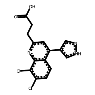 O=C(O)CCc1cc(-c2cn[nH]c2)c2ccc(Cl)c(Cl)c2n1